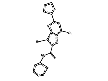 O=C(Nc1ccccc1)c1nn2c(C(F)(F)F)cc(-c3cccs3)nc2c1Br